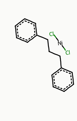 [Cl][Ni][Cl].c1ccc(CCCc2ccccc2)cc1